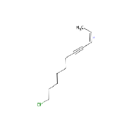 C/C=C\C#CCCCCCCCl